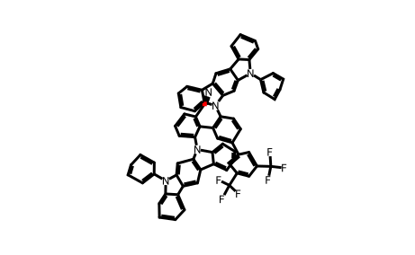 N#Cc1cccc(-n2c3ccccc3c3cc4c5ccccc5n(-c5ccccc5)c4cc32)c1-c1cc(-c2cc(C(F)(F)F)cc(C(F)(F)F)c2)ccc1-n1c2ccccc2c2cc3c4ccccc4n(-c4ccccc4)c3cc21